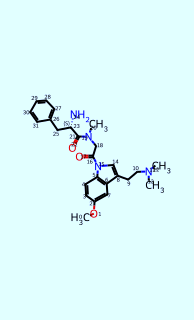 COc1ccc2c(c1)c(CCN(C)C)cn2C(=O)CN(C)C(=O)[C@@H](N)Cc1ccccc1